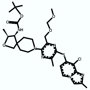 COCOCc1nc(Sc2ccn3cc(C)nc3c2Cl)c(C)nc1N1CCC2(CC1)CO[C@@H](C)[C@H]2NC(=O)OC(C)(C)C